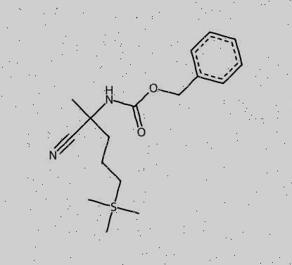 CC(C#N)(CCCS(C)(C)C)NC(=O)OCc1ccccc1